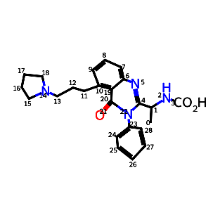 CC(NC(=O)O)c1nc2cccc(CCCN3CCCC3)c2c(=O)n1-c1ccccc1